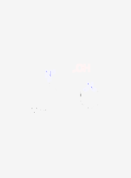 COCc1cncc(O)c1-c1ccccn1